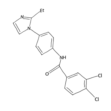 CCc1nccn1-c1ccc(NC(=O)c2ccc(Cl)c(Cl)c2)cc1